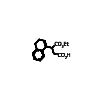 CCOC(=O)C(CC(=O)O)C1=CCCc2ccccc21